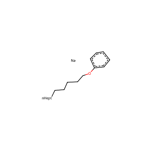 CCCCCCCCCCCCOc1ccccc1.[Na]